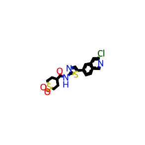 O=C(Nc1ncc(-c2ccc3cnc(Cl)cc3c2)s1)C1CCS(=O)(=O)CC1